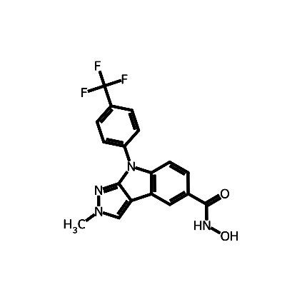 Cn1cc2c3cc(C(=O)NO)ccc3n(-c3ccc(C(F)(F)F)cc3)c2n1